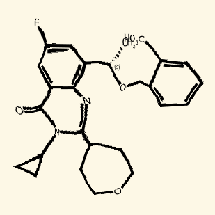 C[C@H](Oc1ccccc1C(=O)O)c1cc(F)cc2c(=O)n(C3CC3)c(C3CCOCC3)nc12